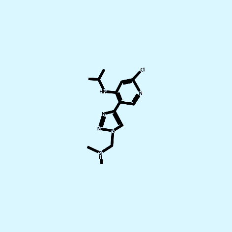 CC(C)Nc1cc(Cl)ncc1-c1cn(C[SiH](C)C)nn1